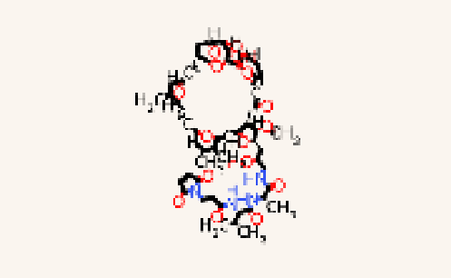 C=C1C[C@@H]2CC[C@]34CC[C@H](O3)C3O[C@H]5CC[C@H](CC(=O)C[C@@H]6[C@@H](OC)[C@@H](C[C@H](O)CNC(=O)[C@H](C)NC(=O)[C@@H](NC(=O)CCN7C(=O)C=CC7=O)C(C)C)O[C@H]6C[C@H]6O[C@@H](CC[C@@H]1O2)C[C@@H](C)C6=C)O[C@@H]5[C@H](O4)[C@@H]3O